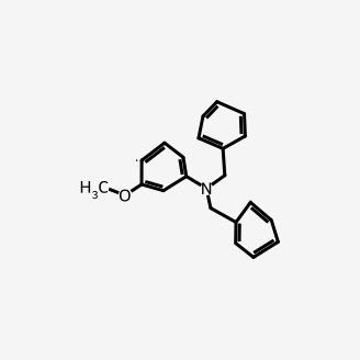 COc1[c]ccc(N(Cc2ccccc2)Cc2ccccc2)c1